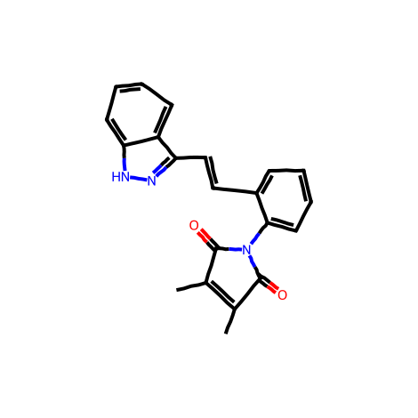 CC1=C(C)C(=O)N(c2ccccc2C=Cc2n[nH]c3ccccc23)C1=O